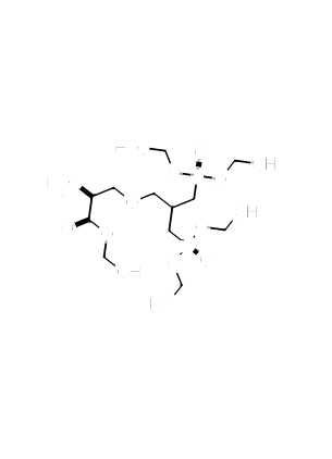 C=C(COCC(CP(=O)(OCC)OCC)CP(=O)(OCC)OCC)C(=O)OCC